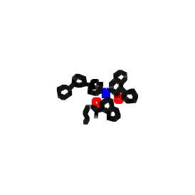 C=C/C=C\c1oc2c(N(c3ccc(-c4cccc(C5C=CC=CC5)c4)cc3)c3cc4c(c5c3oc3ccccc35)CCC=C4)cc3ccccc3c2c1C